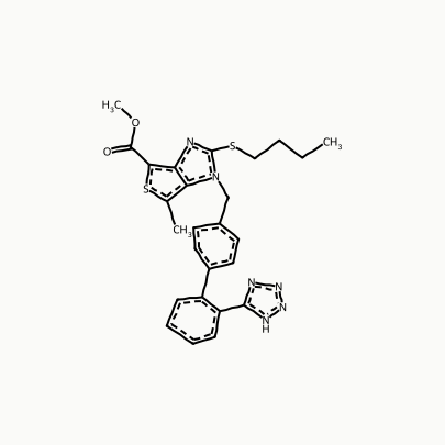 CCCCSc1nc2c(C(=O)OC)sc(C)c2n1Cc1ccc(-c2ccccc2-c2nnn[nH]2)cc1